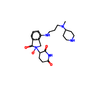 CN(CCCNc1cccc2c1C[N+]([O-])(C1CCC(=O)NC1=O)C2=O)C1CCNCC1